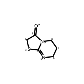 O=C1CSC2=NCCCN12